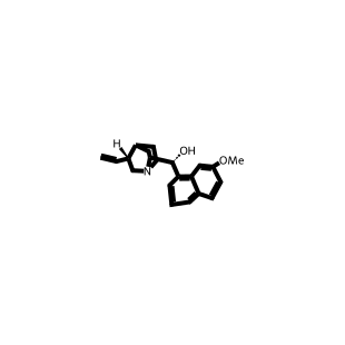 C=C[C@H]1CN2CCC1CC2[C@H](O)c1cccc2ccc(OC)cc12